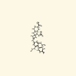 CCCc1cc(CN2CC(CCNC)(CC3CCC(C(C)=O)CC3)C2)cc(CCC)c1-c1ccc(F)cc1